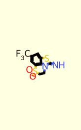 N=c1sc2cc(C(F)(F)F)cc3c2n1CCS3(=O)=O